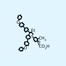 CCC(CSc1ccc(OCC(=O)O)c(C)c1)=C(c1ccc(-c2ccc(Oc3ccccc3)cc2)cc1)c1ccc(-c2ccc(Oc3ccccc3)cc2)cc1